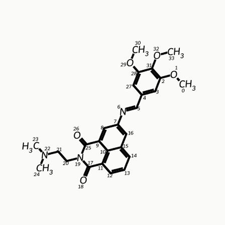 COc1cc(C=Nc2cc3c4c(cccc4c2)C(=O)N(CCN(C)C)C3=O)cc(OC)c1OC